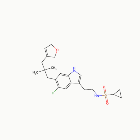 CC(C)(CC1=CCOC1)Cc1cc2[nH]cc(CCNS(=O)(=O)C3CC3)c2cc1F